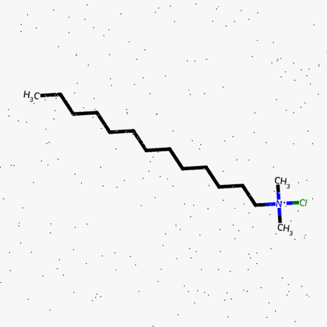 CCCCCCCCCCCCC[N+](C)(C)Cl